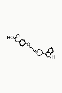 O=C(O)Cc1ccc(OCCCN2CCC(c3c[nH]c4ccccc34)CC2)cc1